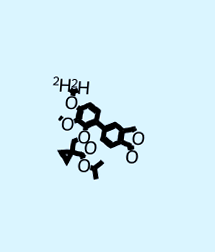 [2H]C([2H])Oc1ccc(-c2ccc3c(c2)COC3=O)c(OCC2(C(=O)OC(C)C)CC2)c1OC